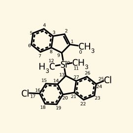 CC1=Cc2ccccc2C1[Si](C)(C)C1c2cc(Cl)ccc2-c2ccc(Cl)cc21